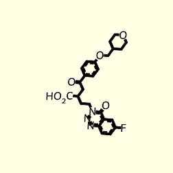 O=C(CC(CCn1nnc2ccc(F)cc2c1=O)C(=O)O)c1ccc(OCC2CCOCC2)cc1